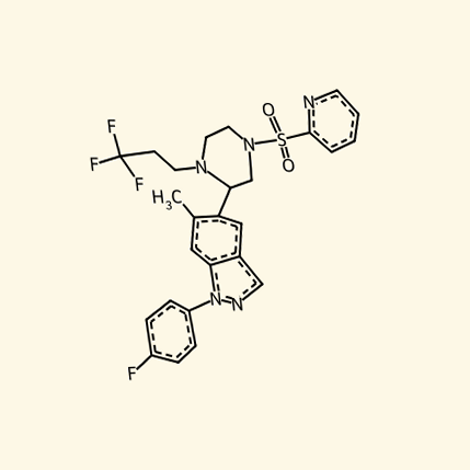 Cc1cc2c(cnn2-c2ccc(F)cc2)cc1C1CN(S(=O)(=O)c2ccccn2)CCN1CCC(F)(F)F